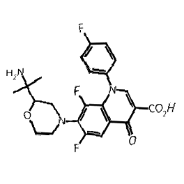 CC(C)(N)C1CN(c2c(F)cc3c(=O)c(C(=O)O)cn(-c4ccc(F)cc4)c3c2F)CCO1